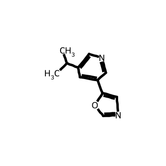 CC(C)c1cncc(-c2cnco2)c1